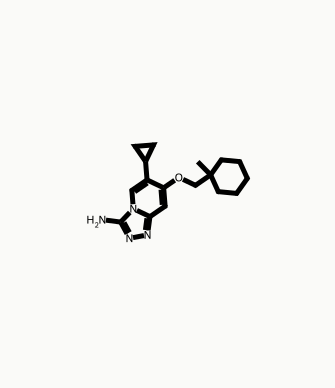 CC1(COc2cc3nnc(N)n3cc2C2CC2)CCCCC1